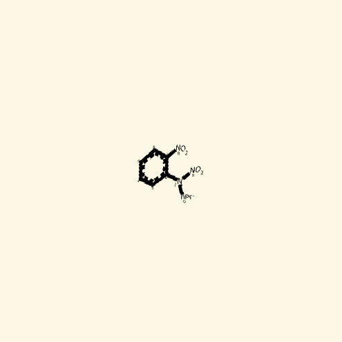 CC[CH]N(c1ccccc1[N+](=O)[O-])[N+](=O)[O-]